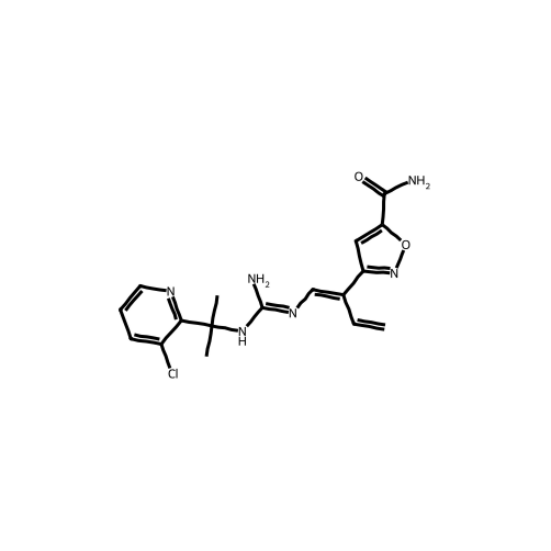 C=C/C(=C\N=C(/N)NC(C)(C)c1ncccc1Cl)c1cc(C(N)=O)on1